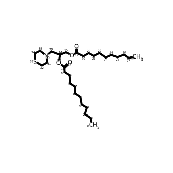 CCCCCCCCCCCC(=O)OC(COC(=O)CCCCCCCCCC)CN1CCSCC1